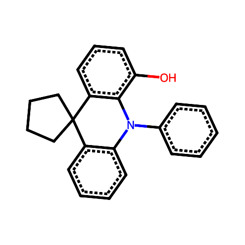 Oc1cccc2c1N(c1ccccc1)c1ccccc1C21CCCC1